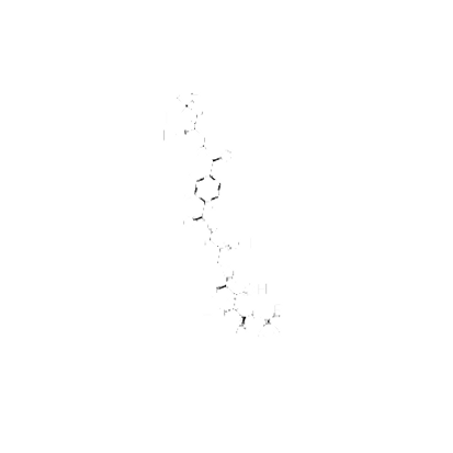 CCC(C)(CC)CC(O)COC(=O)c1ccc(C(=O)OCC(O)COC(=O)C(O)C(O)C(=O)OC(C)(C)CC)cc1